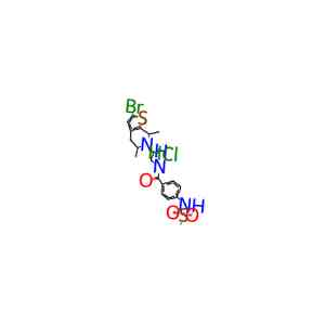 CC1Cc2cc(Br)sc2C(C)N1CCNC(=O)c1ccc(NS(C)(=O)=O)cc1.Cl